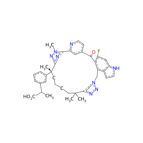 CC(C(=O)O)c1cccc([C@@]2(C)CCCCC(C)(C)c3cn(nn3)Cc3c(c(F)cc4[nH]ccc34)C(=O)c3ccnc(c3)-c3nc2nn3C)c1